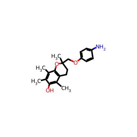 Cc1c(C)c2c(c(C)c1O)CCC(C)(COc1ccc(N)cc1)O2